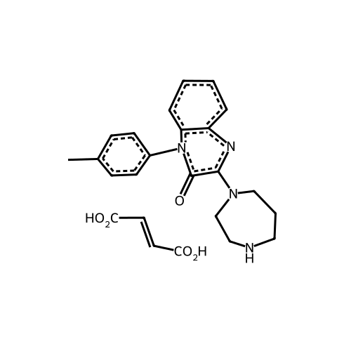 Cc1ccc(-n2c(=O)c(N3CCCNCC3)nc3ccccc32)cc1.O=C(O)C=CC(=O)O